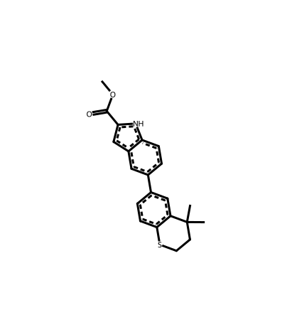 COC(=O)c1cc2cc(-c3ccc4c(c3)C(C)(C)CCS4)ccc2[nH]1